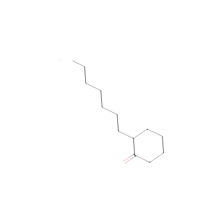 CCCCCCCC1CCCCC1=O